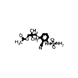 CC(=O)OCC(C)(C)COc1cccc(NS(N)(=O)=O)c1C#N